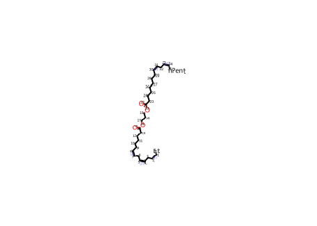 CC/C=C\C/C=C\C/C=C\CCCCCC(=O)OCCCOC(=O)CCCCCCC/C=C\C/C=C\CCCCC